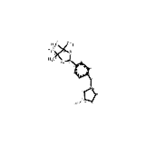 CC1(C)OB(c2ccc(CN3CC[C@H](F)C3)cc2)OC1(C)C